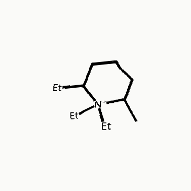 CCC1CCCC(C)[N+]1(CC)CC